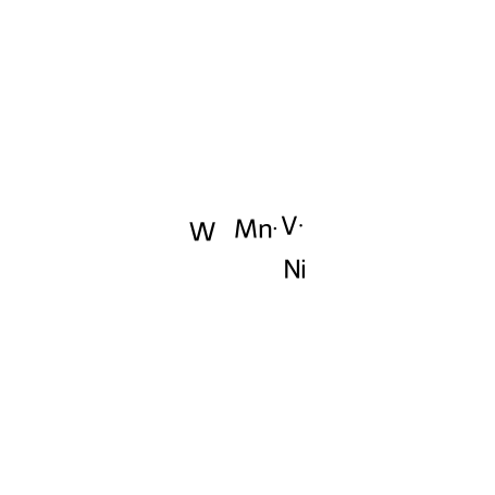 [Mn].[Ni].[V].[W]